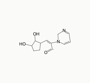 O=[C]/C(=C\C1CCC(O)C1O)N1C=CC=NC1